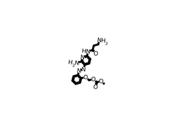 COC(=O)OCOc1ccccc1/N=N/c1ccc(NC(=O)CCN)nc1N